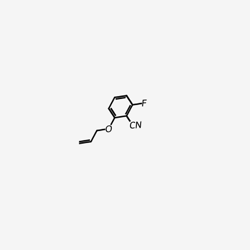 C=CCOc1cccc(F)c1C#N